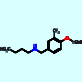 CCCCCCCCOc1ccc(CNCCCC(=O)O)cc1C(F)(F)F